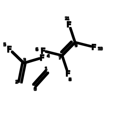 C=C.C=C(F)F.FC(F)=C(F)F